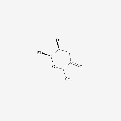 CC[C@H]1CC(=O)C(C)O[C@H]1CC